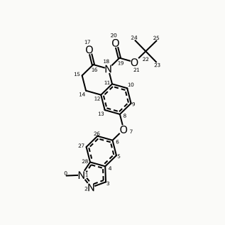 Cn1ncc2cc(Oc3ccc4c(c3)CCC(=O)N4C(=O)OC(C)(C)C)ccc21